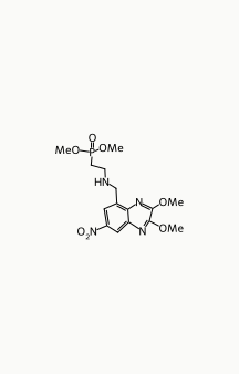 COc1nc2cc([N+](=O)[O-])cc(CNCCP(=O)(OC)OC)c2nc1OC